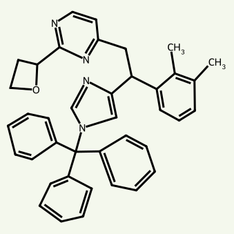 Cc1cccc(C(Cc2ccnc(C3CCO3)n2)c2cn(C(c3ccccc3)(c3ccccc3)c3ccccc3)cn2)c1C